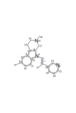 C/C(=C\n1c2c(c3cc(C)ccc31)CCN(C)C2)c1cccnc1